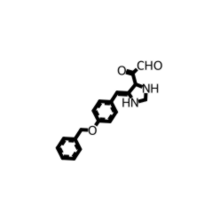 O=CC(=O)C1NCNC1=Cc1ccc(OCc2ccccc2)cc1